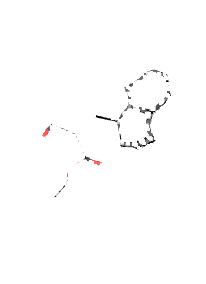 CCOC(=O)[C@H]([C]=O)Cc1cccc2ccccc12